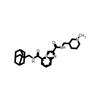 CN1CCCC(CNC(=O)c2cn3c(C(=O)NCC45CC6CC(CC(C6)C4)C5)cccc3n2)C1